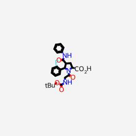 CC(C)(C)OC(=O)NCC(=O)N1C(C(=O)O)CC(C(=O)Nc2ccccc2)C1c1ccccc1F